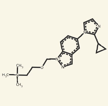 C[Si](C)(C)CCOCn1ncc2cc(-n3ccnc3C3CC3)ccc21